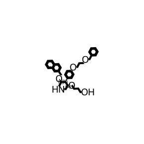 OCCCO[C@@H]1CNC[C@H](OCc2ccc3ccccc3c2)[C@H]1c1ccc(OCCCOCc2ccccc2)cc1